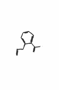 C=CCc1ccccc1C(=O)O.Cl